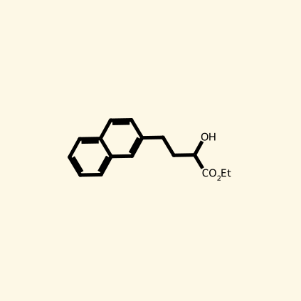 CCOC(=O)C(O)CCc1ccc2ccccc2c1